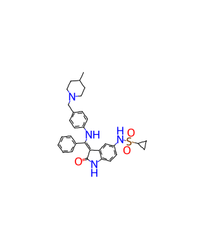 CC1CCN(Cc2ccc(N/C(=C3/C(=O)Nc4ccc(NS(=O)(=O)C5CC5)cc43)c3ccccc3)cc2)CC1